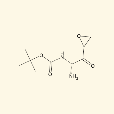 CC(C)(C)OC(=O)N[C@@H](N)C(=O)C1CO1